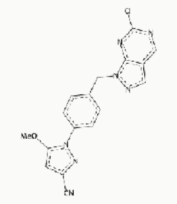 COc1cc(C#N)nn1-c1ccc(Cn2ncc3cnc(Cl)nc32)cc1